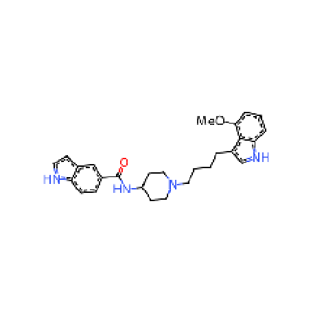 COc1cccc2[nH]cc(CCCCN3CCC(NC(=O)c4ccc5[nH]ccc5c4)CC3)c12